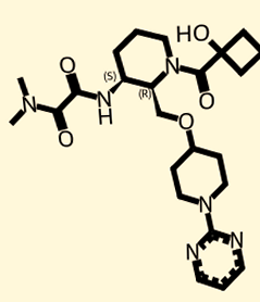 CN(C)C(=O)C(=O)N[C@H]1CCCN(C(=O)C2(O)CCC2)[C@H]1COC1CCN(c2ncccn2)CC1